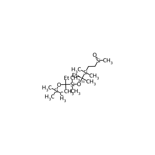 CCC(C)(O[Si](C)(C)C)[Si](C)(C)O[C@](C)(CC)[Si](C)(C)CC[Si](C)=O